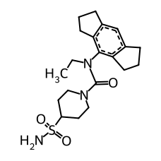 CCN(C(=O)N1CCC(S(N)(=O)=O)CC1)c1c2c(cc3c1CCC3)CCC2